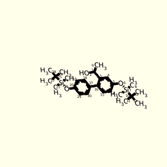 CC(O)c1cc(O[Si](C)(C)C(C)(C)C)ccc1-c1ccc(O[Si](C)(C)C(C)(C)C)cc1